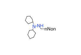 CCCCCCCCCCNN(C1CCCCC1)C1CCCCC1